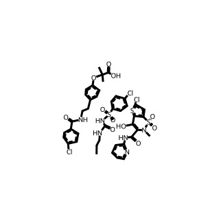 CC(C)(Oc1ccc(CCNC(=O)c2ccc(Cl)cc2)cc1)C(=O)O.CCCNC(=O)NS(=O)(=O)c1ccc(Cl)cc1.CN1C(C(=O)Nc2ccccn2)=C(O)c2sc(Cl)cc2S1(=O)=O